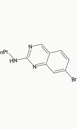 CCCNc1ncc2ccc(Br)cc2n1